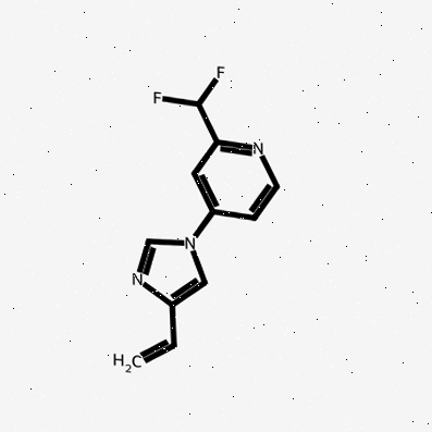 C=Cc1cn(-c2ccnc(C(F)F)c2)cn1